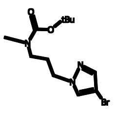 CN(CCCn1cc(Br)cn1)C(=O)OC(C)(C)C